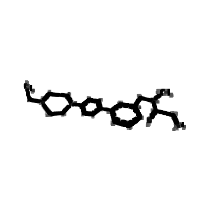 CCN1CCN(c2ccc(-c3cccc(CN(C)C(=O)CN)c3)cc2)CC1